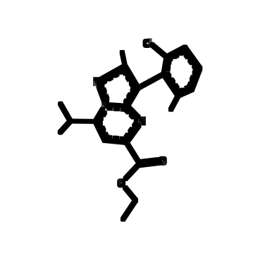 CCOC(=O)c1cc(C(C)C)n2nc(C)c(-c3c(C)cccc3Cl)c2n1